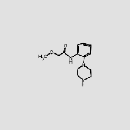 COCC(=O)Nc1ccccc1N1CCNCC1